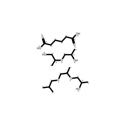 CC(C)COCC(C)OCC(C)O.CC(O)COC(C)CO.O=C(O)CCCCC(=O)O